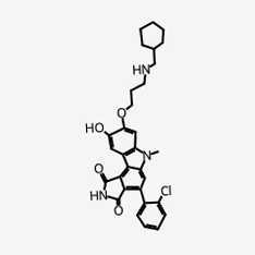 Cn1c2cc(OCCCNCC3CCCCC3)c(O)cc2c2c3c(c(-c4ccccc4Cl)cc21)C(=O)NC3=O